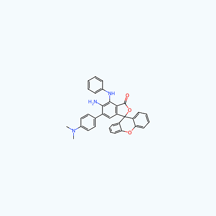 CN(C)c1ccc(-c2cc3c(c(Nc4ccccc4)c2N)C(=O)OC32c3ccccc3Oc3ccccc32)cc1